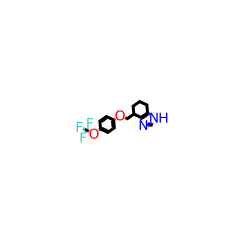 FC(F)(F)Oc1ccc(OCC2CCCc3[nH]cnc32)cc1